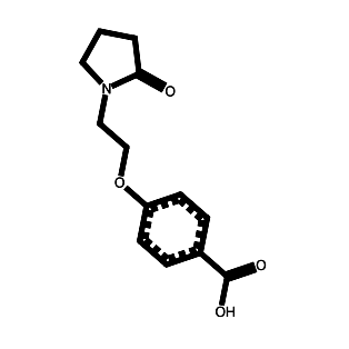 O=C(O)c1ccc(OCCN2CCCC2=O)cc1